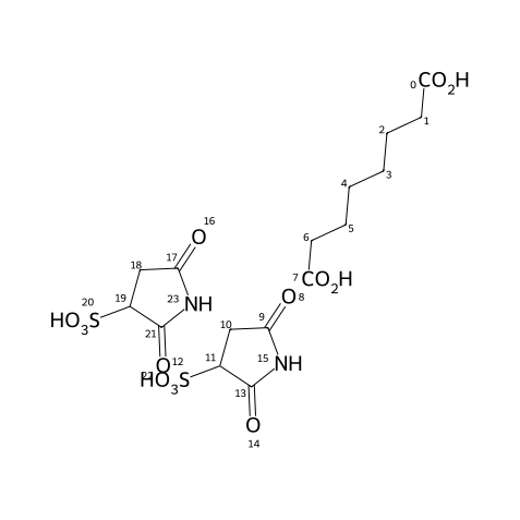 O=C(O)CCCCCCC(=O)O.O=C1CC(S(=O)(=O)O)C(=O)N1.O=C1CC(S(=O)(=O)O)C(=O)N1